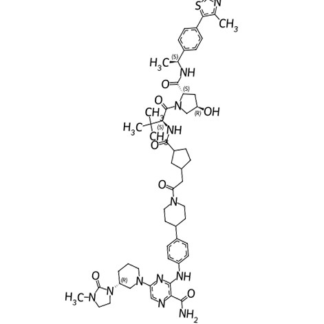 Cc1ncsc1-c1ccc([C@H](C)NC(=O)[C@@H]2C[C@@H](O)CN2C(=O)[C@@H](NC(=O)C2CCC(CC(=O)N3CCC(c4ccc(Nc5nc(N6CCC[C@@H](N7CCN(C)C7=O)C6)cnc5C(N)=O)cc4)CC3)C2)C(C)(C)C)cc1